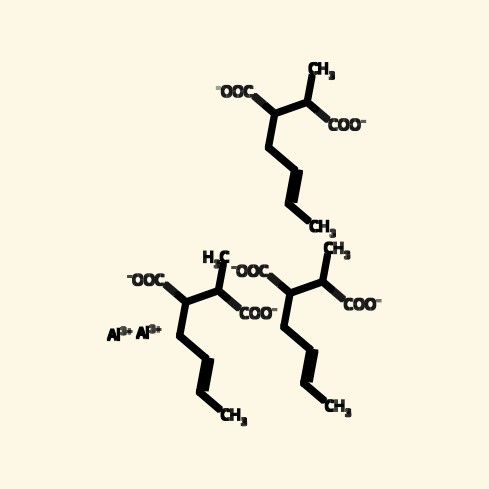 CC=CCC(C(=O)[O-])C(C)C(=O)[O-].CC=CCC(C(=O)[O-])C(C)C(=O)[O-].CC=CCC(C(=O)[O-])C(C)C(=O)[O-].[Al+3].[Al+3]